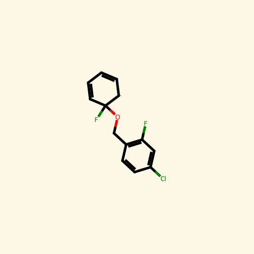 Fc1cc(Cl)ccc1COC1(F)[CH]C=CC=C1